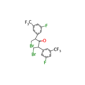 O=C(C(CBr)c1cc(F)cc(C(F)(F)F)c1)C(CBr)c1cc(F)cc(C(F)(F)F)c1